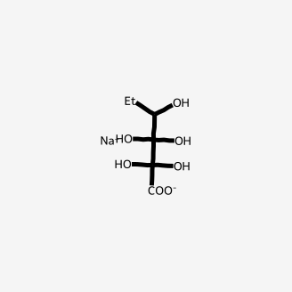 CCC(O)C(O)(O)C(O)(O)C(=O)[O-].[Na+]